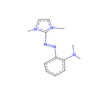 CN(C)c1ccccc1N=Nc1n(C)cc[n+]1C